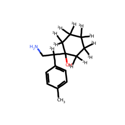 [2H]C(CN)(c1ccc(C)cc1)C1(O)C([2H])([2H])C([2H])([2H])C([2H])([2H])C([2H])([2H])C1([2H])[2H]